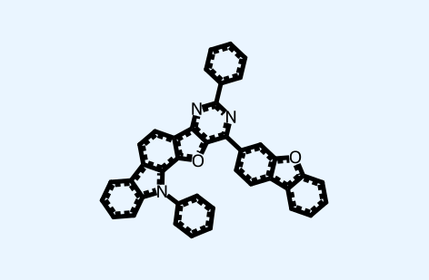 c1ccc(-c2nc(-c3ccc4c(c3)oc3ccccc34)c3oc4c(ccc5c6ccccc6n(-c6ccccc6)c54)c3n2)cc1